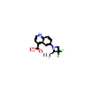 CC1N(c2ccc3nccc(C(=O)O)c3c2)CC1(F)F